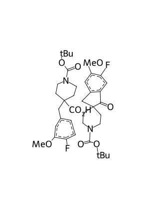 COc1cc(CC2(C(=O)O)CCN(C(=O)OC(C)(C)C)CC2)ccc1F.COc1cc2c(cc1F)C(=O)C1(CCN(C(=O)OC(C)(C)C)CC1)C2